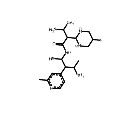 Cc1cc(C(C(C)N)C(S)NC(=O)C(C(N)N)C2NCC(F)CN2)ccn1